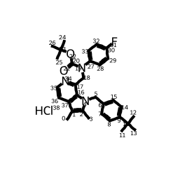 Cc1c(C)n(Cc2ccc(C(C)(C)C)cc2)c2c(CN(C(=O)OC(C)(C)C)c3ccc(F)cc3)nccc12.Cl